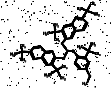 COc1ccc(OP(Oc2cc3ccc(C(C)(C)C)cc3cc2C(C)(C)C)Oc2cc3ccc(C(C)(C)C)cc3cc2C(C)(C)C)c(C(C)(C)C)c1